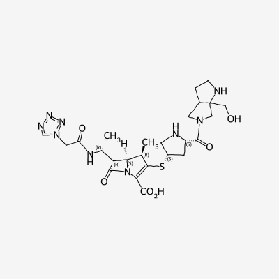 C[C@@H](NC(=O)Cn1cnnn1)[C@H]1C(=O)N2C(C(=O)O)=C(S[C@@H]3CN[C@H](C(=O)N4CC5CCNC5(CO)C4)C3)[C@H](C)[C@H]12